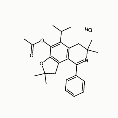 CC(=O)Oc1c2c(c3c(c1C(C)C)CC(C)(C)N=C3c1ccccc1)CC(C)(C)O2.Cl